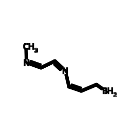 BC\C=C/N=C\C=N/C